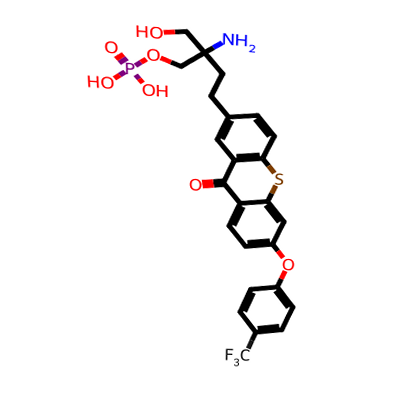 NC(CO)(CCc1ccc2sc3cc(Oc4ccc(C(F)(F)F)cc4)ccc3c(=O)c2c1)COP(=O)(O)O